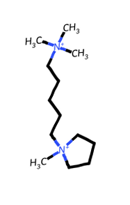 C[N+](C)(C)CCCCC[N+]1(C)CCCC1